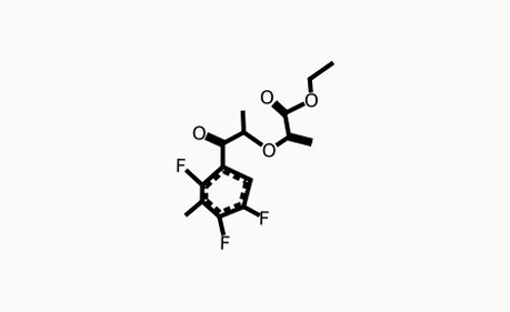 C=C(OC(C)C(=O)c1cc(F)c(F)c(C)c1F)C(=O)OCC